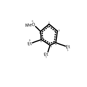 [CH2]Oc1ccc(CC)c(CC)c1CC